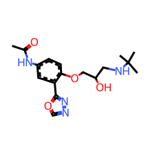 CC(=O)Nc1ccc(OCC(O)CNC(C)(C)C)c(-c2nnco2)c1